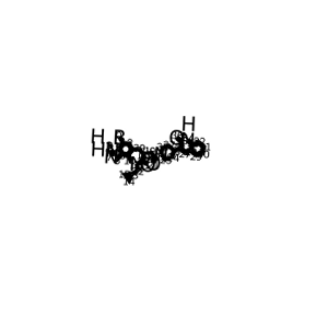 Bc1cc2c(c3cn[nH]c13)CN(CC1CC1)C(=O)[C@H](CC(=O)N1CCC(c3cc4ccccc4[nH]c3=O)CC1)C2